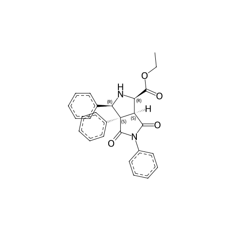 CCOC(=O)[C@@H]1N[C@H](c2ccccc2)[C@]2(c3ccccc3)C(=O)N(c3ccccc3)C(=O)[C@H]12